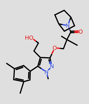 Cc1cc(C)cc(-c2c(CCO)c(OCC(C)(C)C(=O)N3C4CCC3CC4)nn2C)c1